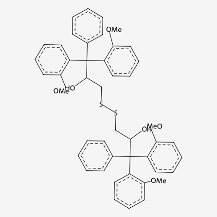 COc1ccccc1C(c1ccccc1)(c1ccccc1OC)C(O)CSSCC(O)C(c1ccccc1)(c1ccccc1OC)c1ccccc1OC